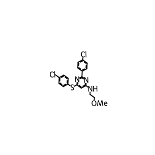 COCCNc1cc(Sc2ccc(Cl)cc2)nc(-c2ccc(Cl)cc2)n1